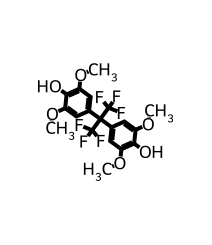 COc1cc(C(c2cc(OC)c(O)c(OC)c2)(C(F)(F)F)C(F)(F)F)cc(OC)c1O